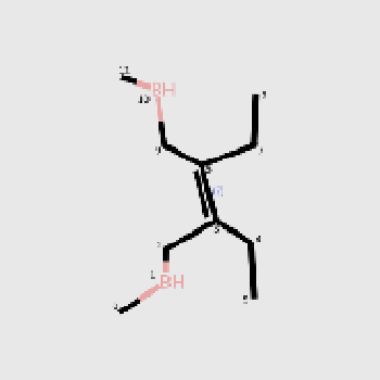 CBC/C(CC)=C(/CC)CBC